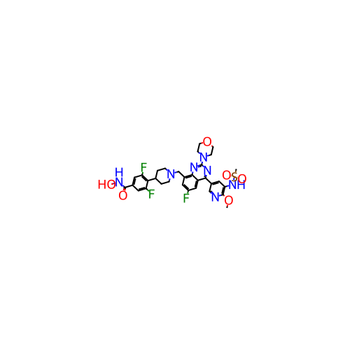 COc1ncc(-c2nc(N3CCOCC3)nc3c(CN4CCC(c5c(F)cc(C(=O)NO)cc5F)CC4)cc(F)cc23)cc1NS(C)(=O)=O